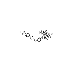 C[C@@H](O[Si](C)(C)C(C)(C)C)c1ccc(CN2CCC(c3ccc(N)nc3)CC2)cc1